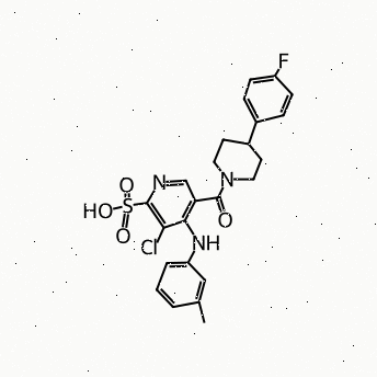 Cc1cccc(Nc2c(C(=O)N3CCC(c4ccc(F)cc4)CC3)cnc(S(=O)(=O)O)c2Cl)c1